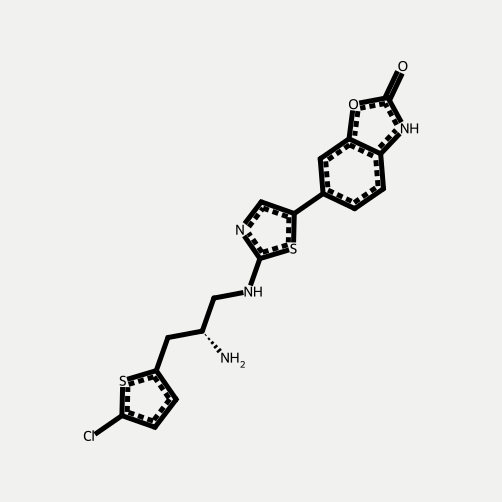 N[C@@H](CNc1ncc(-c2ccc3[nH]c(=O)oc3c2)s1)Cc1ccc(Cl)s1